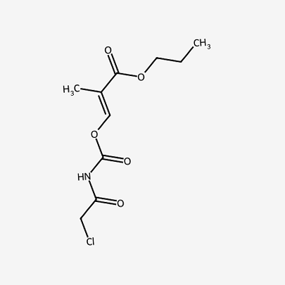 CCCOC(=O)C(C)=COC(=O)NC(=O)CCl